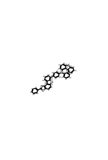 c1ccc(-c2nc3c(ccc4oc5c(-c6ccc(N(c7ccccc7)c7cccc8sc9ccccc9c78)cc6)cccc5c43)o2)cc1